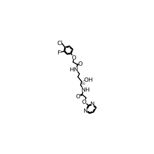 O=C(COc1ccc(Cl)c(F)c1)NCC[C@H](O)CNC(=O)COc1ncccn1